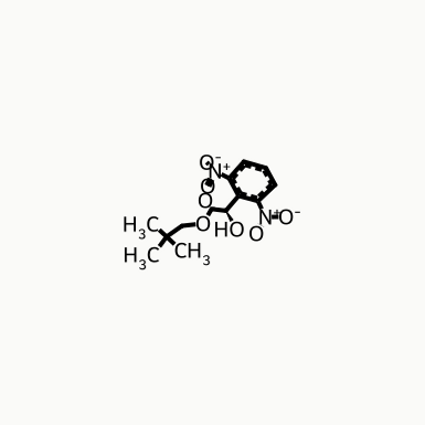 CC(C)(C)COC(=O)[C@H](O)c1c([N+](=O)[O-])cccc1[N+](=O)[O-]